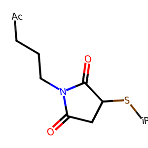 CC(=O)CCCN1C(=O)CC(SC(C)C)C1=O